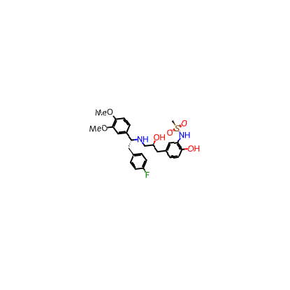 COc1ccc([C@@H](Cc2ccc(F)cc2)NC[C@@H](O)Cc2ccc(O)c(NS(C)(=O)=O)c2)cc1OC